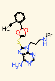 C#Cc1ccccc1C1OC=C(Sc2nc3c(N)ncnc3n2CCCNC(C)C)O1